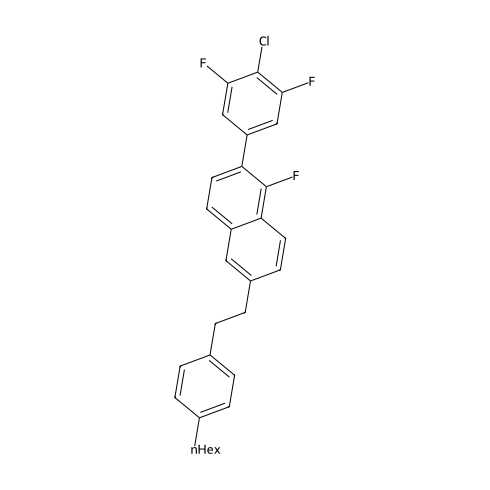 CCCCCCc1ccc(CCc2ccc3c(F)c(-c4cc(F)c(Cl)c(F)c4)ccc3c2)cc1